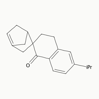 CC(C)c1ccc2c(c1)CCC1(CC3=CCC1C3)C2=O